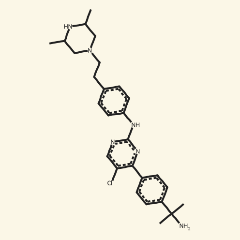 CC1CN(CCc2ccc(Nc3ncc(Cl)c(-c4ccc(C(C)(C)N)cc4)n3)cc2)CC(C)N1